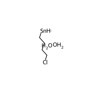 ClCCC[CH2][SnH].O.O